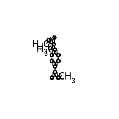 Cc1cccc(N(c2ccccc2)c2ccc(-c3ccc(N(c4ccccc4)c4cccc(-c5cccc(N(c6ccccc6)c6ccc7c(c6)C(C)(C)c6cc(N(c8ccccc8)c8cccc(C)c8)ccc6-7)c5)c4)cc3)cc2)c1